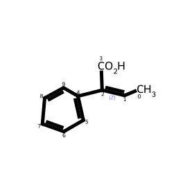 C/C=C(\C(=O)O)c1ccccc1